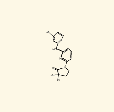 CCC1(C#N)CCN(c2ccnc(Nc3cccc(C(C)=O)c3)n2)C1=O